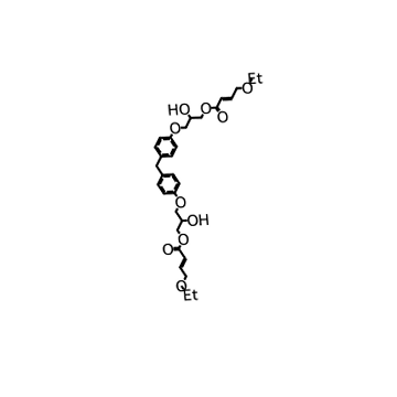 CCOCC=CC(=O)OCC(O)COc1ccc(Cc2ccc(OCC(O)COC(=O)C=CCOCC)cc2)cc1